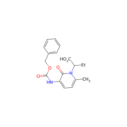 CCC(C(=O)O)n1c(C)ccc(NC(=O)OCc2ccccc2)c1=O